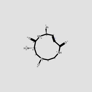 CC(C)[C@H]1/C=C/C(=O)NCC[S+]([O-])C[C@H](N)C(=O)N1